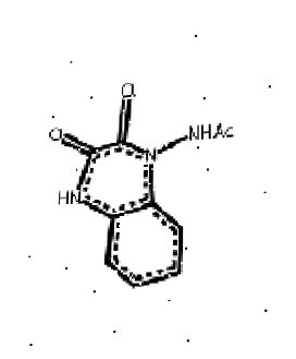 CC(=O)Nn1c(=O)c(=O)[nH]c2ccccc21